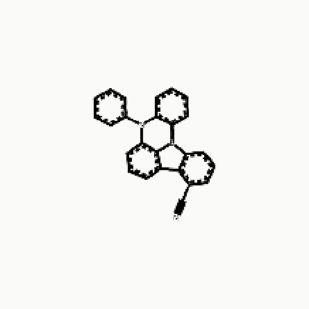 N#Cc1cccc2c1-c1cccc3c1B2c1ccccc1N3c1ccccc1